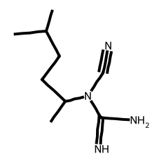 CC(C)CCC(C)N(C#N)C(=N)N